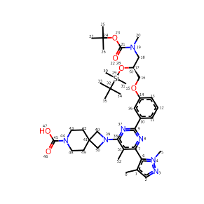 Cc1cnn(C)c1-c1nc(-c2cccc(OC[C@H](CN(C)C(=O)OC(C)(C)C)O[Si](C)(C)C(C)(C)C)c2)nc(N2CC3(CCN(C(=O)O)CC3)C2)c1C